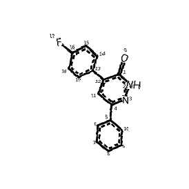 O=c1[nH]nc(-c2ccccc2)cc1-c1ccc(F)cc1